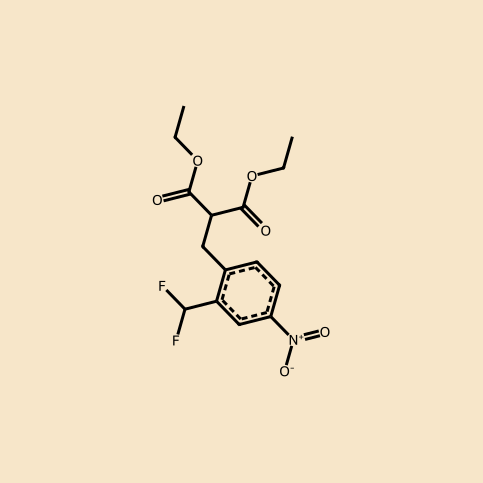 CCOC(=O)C(Cc1ccc([N+](=O)[O-])cc1C(F)F)C(=O)OCC